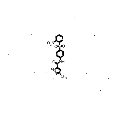 Cn1nc(C(F)(F)F)cc1C(=O)Nc1ccc(S(=O)(=O)c2ccccc2[N+](=O)[O-])cc1